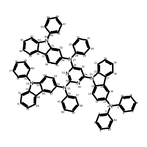 c1ccc(N(c2ccccc2)c2ccc3c(c2)c2ccccc2n3-c2cc(N(c3ccccc3)c3ccc4c5ccccc5n(-c5ccccc5)c4c3)nc(N(c3ccccc3)c3ccc4c(c3)c3ccccc3n4-c3ccccc3)n2)cc1